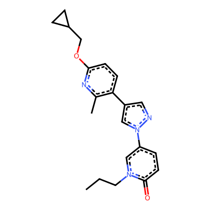 CCCn1cc(-n2cc(-c3ccc(OCC4CC4)nc3C)cn2)ccc1=O